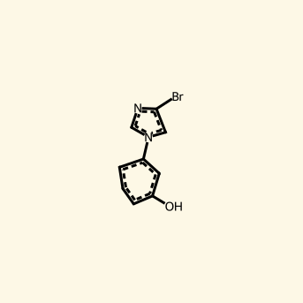 Oc1cccc(-n2cnc(Br)c2)c1